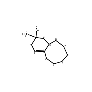 CC(=O)C1(C)CC=C2CCCCCCC2C1